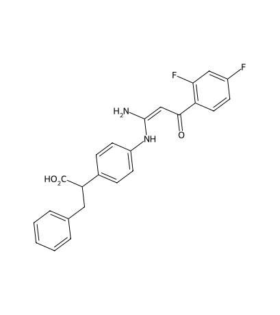 NC(=CC(=O)c1ccc(F)cc1F)Nc1ccc(C(Cc2ccccc2)C(=O)O)cc1